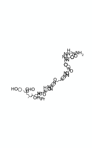 C/C(=C\[C@@H](C)CC[C@@H](CC[C@H]1CC[C@H](O)CC1)OC=O)[C@@H](O)C/C(=N/OCC(=O)NCc1cnc(N2CCN(C(=O)CCCN3CCN(c4ncc(C(=O)N5CCc6cc(Cn7nc(-c8ccc9oc(N)nc9c8)c8c(N)ncnc87)ccc6C5)cn4)CC3)CC2)nc1)[C@H](C)CC(C)C